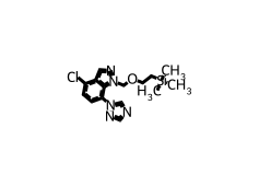 C[Si](C)(C)CCOCn1ncc2c(Cl)ccc(-n3cncn3)c21